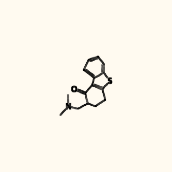 CN(C)CC1CCc2sc3ccccc3c2C1=O